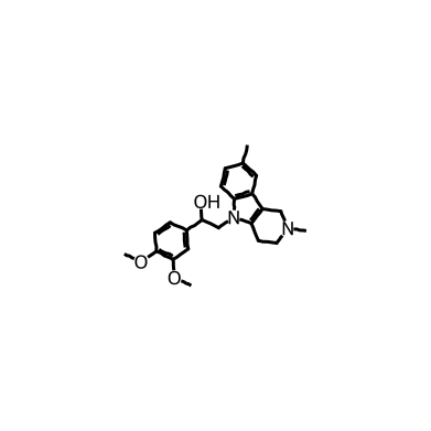 COc1ccc(C(O)Cn2c3c(c4cc(C)ccc42)CN(C)CC3)cc1OC